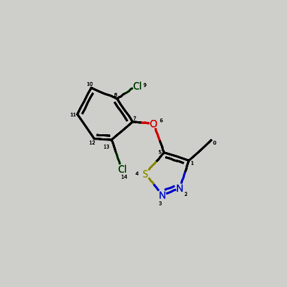 Cc1nnsc1Oc1c(Cl)cccc1Cl